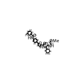 COC[C@H](C)NC(=O)[C@@H](NC(=O)c1ccc(-c2ccc(NC(=O)c3cccc(C)n3)cc2)o1)C1CCCCC1